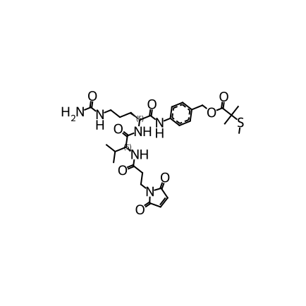 CSC(C)(C)C(=O)OCc1ccc(NC(=O)[C@H](CCCNC(N)=O)NC(=O)[C@@H](NC(=O)CCN2C(=O)C=CC2=O)C(C)C)cc1